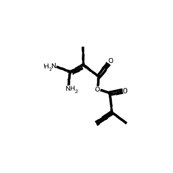 C=C(C)C(=O)OC(=O)C(C)=C(N)N